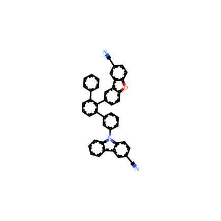 N#Cc1ccc2oc3ccc(-c4c(-c5ccccc5)cccc4-c4cccc(-n5c6ccccc6c6cc(C#N)ccc65)c4)cc3c2c1